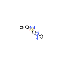 [C-]#[N+]c1ccc(NS(=O)(=O)c2ccc3[nH]c(-c4ccccc4)nc3c2)cc1